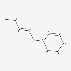 CCC=CC[C]1C=CCCC1